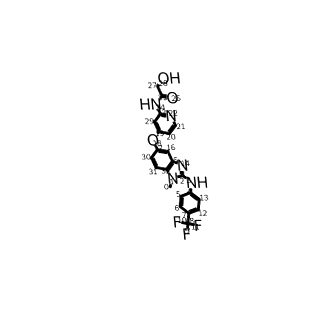 Cn1c(Nc2ccc(C(F)(F)F)cc2)nc2cc(Oc3ccnc(NC(=O)CO)c3)ccc21